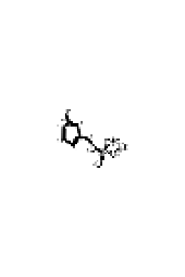 CCOP(=O)(OCC)OCc1cccc(C)c1